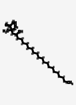 CCCCCCCCCCCCCCCCCCCCC(O)CC(C)(C)C(=O)O